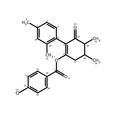 Cc1ccc(C2=C(OC(=O)c3ccc(Cl)cc3)CC(C)C(C)C2=O)c(C)c1